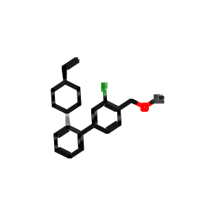 C=C[C@H]1CC[C@H](c2ccccc2-c2ccc(COCC)c(F)c2)CC1